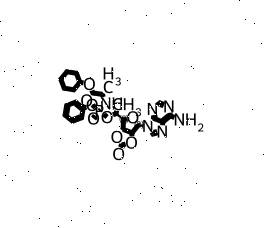 CC(NP(=O)(Oc1ccccc1)OC(C)[C@H]1O[C@@H](n2cnc3c(N)ncnc32)C2OC(=O)OC21)C(=O)OC1CCCCC1